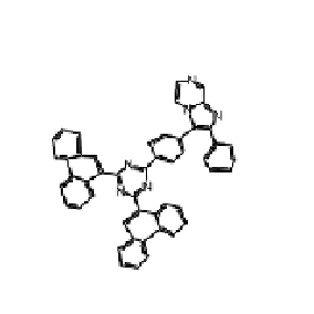 c1ccc(-c2nc3cnccn3c2-c2ccc(-c3nc(-c4cc5ccccc5c5ccccc45)nc(-c4cc5ccccc5c5ccccc45)n3)cc2)cc1